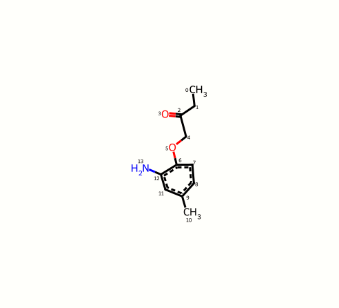 CCC(=O)COc1ccc(C)cc1N